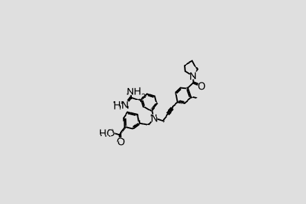 Cc1cc(C#CCN(Cc2cccc(C(=O)O)c2)c2cccc(C(=N)N)c2)ccc1C(=O)N1CCCC1